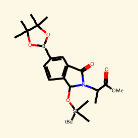 COC(=O)C(C)N1C(=O)c2cc(B3OC(C)(C)C(C)(C)O3)ccc2C1O[Si](C)(C)C(C)(C)C